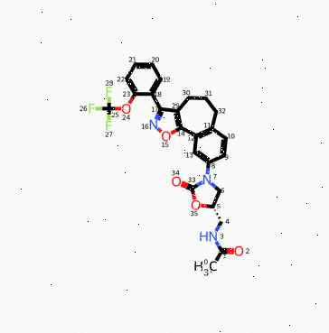 CC(=O)NC[C@H]1CN(c2ccc3c(c2)-c2onc(-c4ccccc4OC(F)(F)F)c2CCC3)C(=O)O1